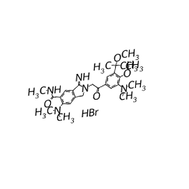 Br.CNC(=O)c1cc2c(cc1N(C)C)CN(CC(=O)c1cc(N(C)C)c(OC)c(C(C)(C)OC)c1)C2=N